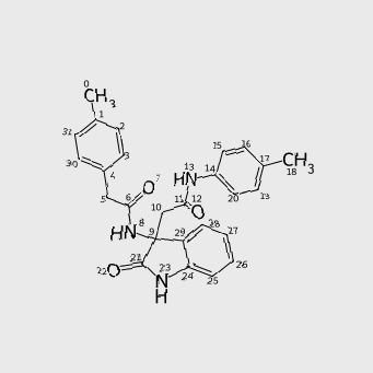 Cc1ccc(CC(=O)NC2(CC(=O)Nc3ccc(C)cc3)C(=O)Nc3ccccc32)cc1